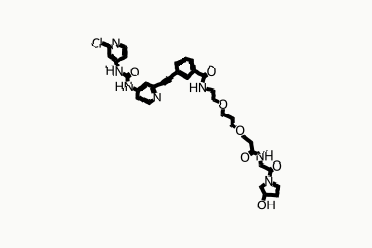 O=C(CCOCCCOCCNC(=O)c1cccc(C#Cc2cc(NC(=O)Nc3ccnc(Cl)c3)ccn2)c1)NCC(=O)N1CCC(O)C1